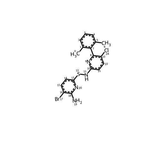 Cc1cccc(C)c1-c1nc(NSc2ccc(Br)c(N)n2)ccc1Cl